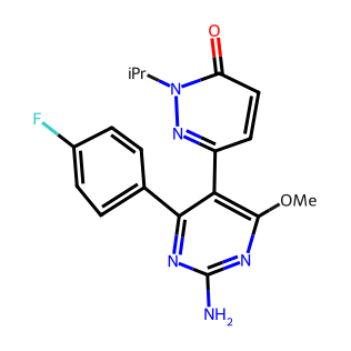 COc1nc(N)nc(-c2ccc(F)cc2)c1-c1ccc(=O)n(C(C)C)n1